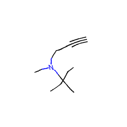 C#CCN(C)C(C)(C)C